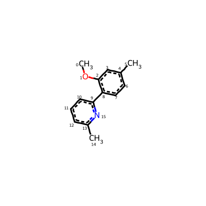 COc1cc(C)ccc1-c1cccc(C)n1